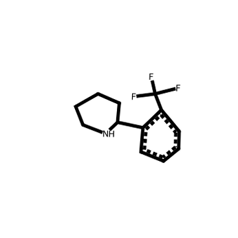 FC(F)(F)c1ccccc1C1CCCCN1